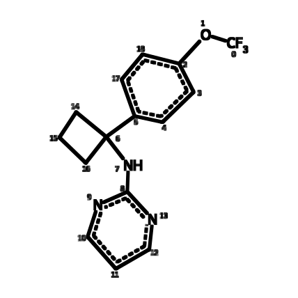 FC(F)(F)Oc1ccc(C2(Nc3ncccn3)CCC2)cc1